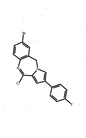 Fc1ccc(-c2cc3n(c2)Cc2cc(Br)ccc2N=C3Cl)cc1